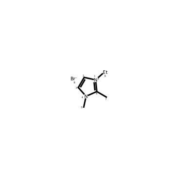 CC[n+]1ccn(C)c1C.[Br-]